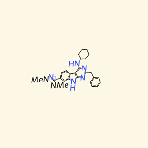 CN/N=C(\NC)c1ccc2c(c1)[nH]c1nc(Cc3ccccc3)nc(NC3CCCCC3)c12